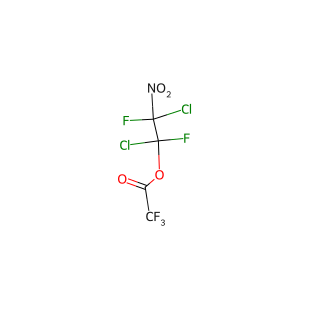 O=C(OC(F)(Cl)C(F)(Cl)[N+](=O)[O-])C(F)(F)F